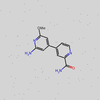 COc1cc(-c2[c]c(C(N)=O)ncc2)cc(N)n1